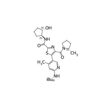 CC[C@@H](C)Nc1cc(C)c(-c2sc(C(=O)N[C@H]3CCC[C@@H]3O)nc2C(=O)N2CCC[C@@H]2C)cn1